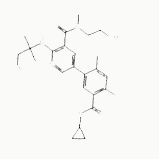 COCCN(C)C(=O)c1cc(-c2cc(C(=O)NC3CC3)c(F)cc2C)cnc1NC(C)(C)CO